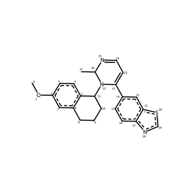 COc1ccc2c(c1)CCCC2N1C(c2ccc3ncsc3c2)=CC=NC1C